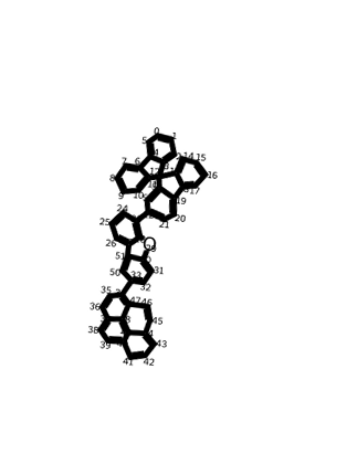 c1ccc2c(c1)-c1ccccc1C21c2ccccc2-c2ccc(-c3cccc4c3oc3ccc(-c5ccc6ccc7cccc8ccc5c6c78)cc34)cc21